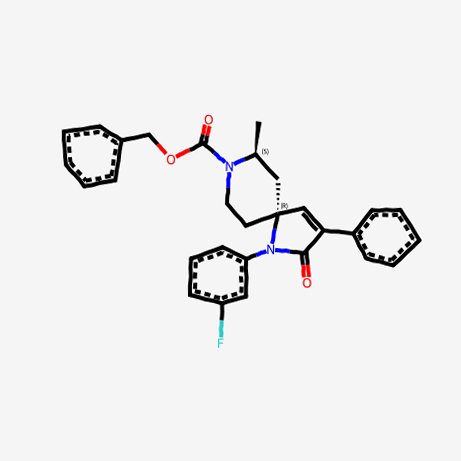 C[C@H]1C[C@@]2(C=C(c3ccccc3)C(=O)N2c2cccc(F)c2)CCN1C(=O)OCc1ccccc1